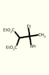 CCCC(C)(CC)C(C(=O)OCC)C(=O)OCC